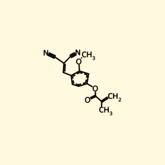 C=C(C)C(=O)Oc1ccc(C=C(C#N)C#N)c(OC)c1